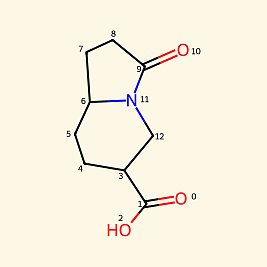 O=C(O)C1CCC2CCC(=O)N2C1